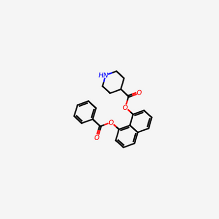 O=C(Oc1cccc2cccc(OC(=O)C3CCNCC3)c12)c1ccccc1